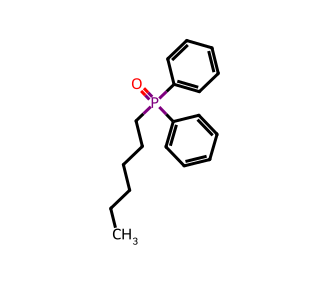 CCCCCCP(=O)(c1ccccc1)c1ccccc1